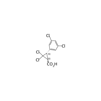 O=C(O)[C@@H]1[C@@H](c2cc(Cl)cc(Cl)c2)C1(Cl)Cl